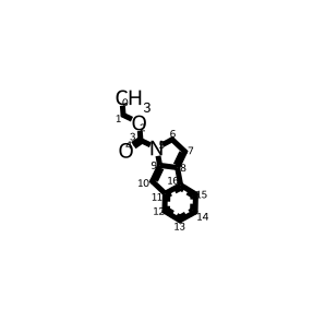 CCOC(=O)N1CC=C2C1=Cc1ccccc12